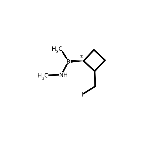 CNB(C)[C@H]1CCC1CI